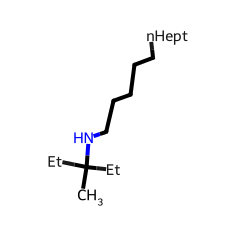 CCCCCCCCCCCCNC(C)(CC)CC